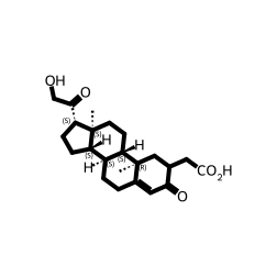 C[C@]12CC[C@H]3[C@@H](CCC4=CC(=O)C(CC(=O)O)C[C@@]43C)[C@@H]1CC[C@@H]2C(=O)CO